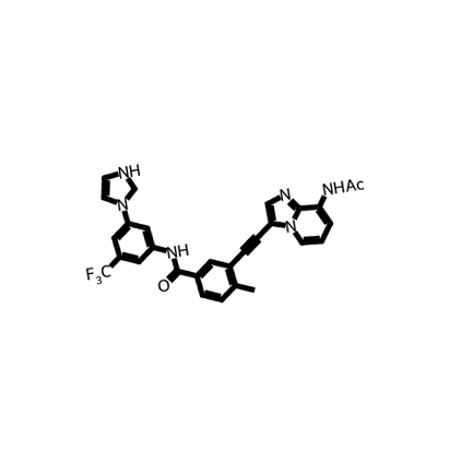 CC(=O)Nc1cccn2c(C#Cc3cc(C(=O)Nc4cc(N5C=CNC5)cc(C(F)(F)F)c4)ccc3C)cnc12